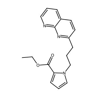 CCOC(=O)c1cccn1CCCc1ccc2cccnc2n1